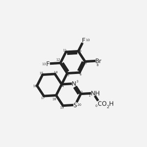 O=C(O)NC1=NC2(c3cc(Br)c(F)cc3F)CCCCC2CS1